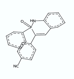 N#Cc1ccc(C2=Cc3ccccc3NP2(=O)c2ccccc2)cc1